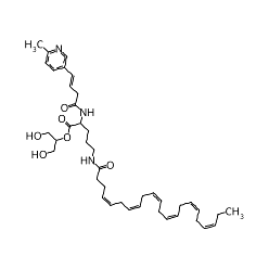 CC/C=C\C/C=C\C/C=C\C/C=C\C/C=C\C/C=C\CCC(=O)NCCCC(NC(=O)C/C=C/c1ccc(C)nc1)C(=O)OC(CO)CO